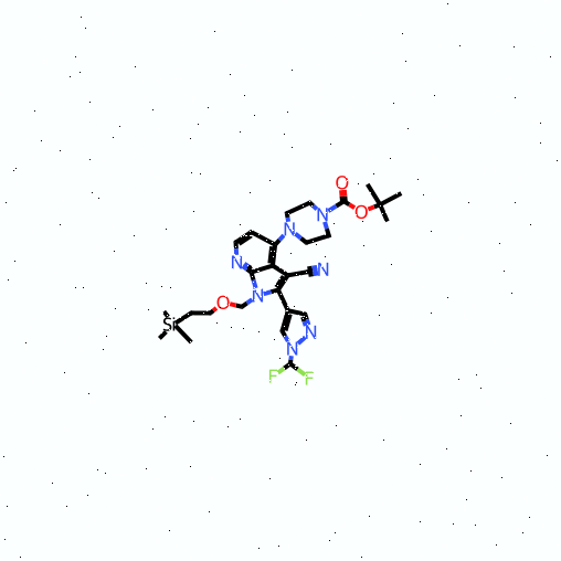 CC(C)(C)OC(=O)N1CCN(c2ccnc3c2c(C#N)c(-c2cnn(C(F)F)c2)n3COCC[Si](C)(C)C)CC1